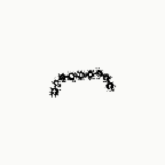 c1cc(-c2ccc(-c3ccc(-c4ccc(N5CCN(c6ccc(-c7ccc(-c8ccc(-c9ccncc9)s8)s7)cc6)CC5)cc4)s3)s2)ccn1